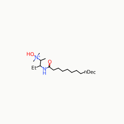 CCCCCCCCCCCCCCCCCC(=O)NC(CC)C(C)[N+](C)(C)O